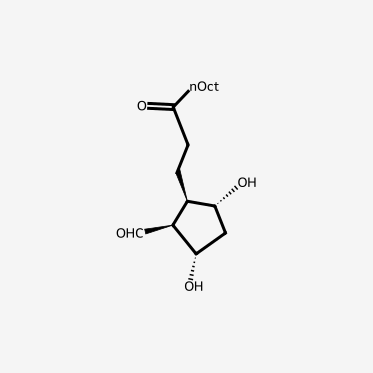 CCCCCCCCC(=O)CC[C@@H]1[C@H](C=O)[C@@H](O)C[C@H]1O